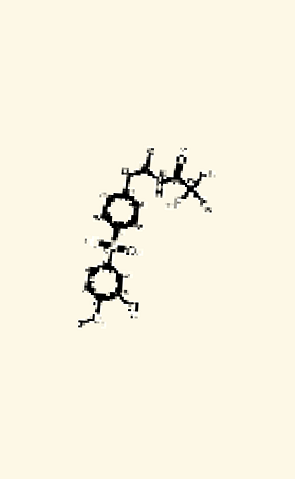 COc1ccc(S(=O)(=O)c2ccc(CC(C)NC(=O)C(F)(F)F)cc2)cc1Cl